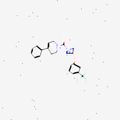 O=C(N1CC=C(c2ccccc2)CC1)N1CC(Oc2cccc(C(F)(F)F)c2)C1